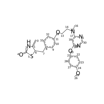 C=C1NC(=O)SC1Cc1ccc(OCCN(C)c2cc(Oc3ccc(OC)cc3)ncn2)cc1